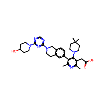 Cc1nc(C)c(-c2ccc3c(c2)CCN(c2ncnc(N4CCC(O)CC4)n2)C3)c(N2CCC(C)(C)CC2)c1CC(=O)O